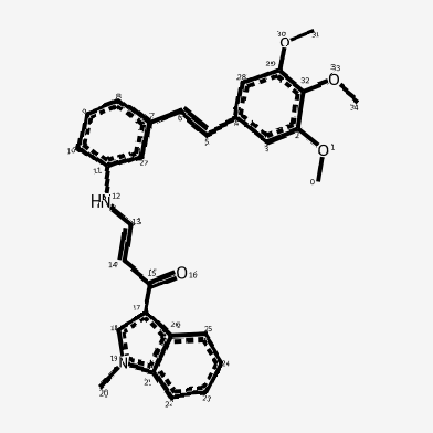 COc1cc(C=Cc2cccc(NC=CC(=O)c3cn(C)c4ccccc34)c2)cc(OC)c1OC